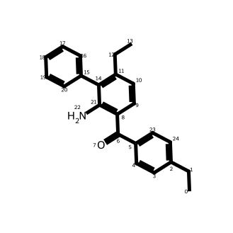 CCc1ccc(C(=O)c2ccc(CC)c(-c3ccccc3)c2N)cc1